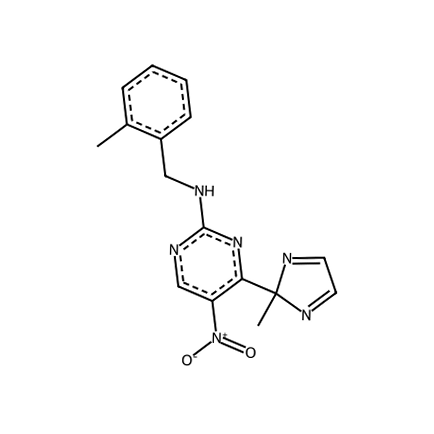 Cc1ccccc1CNc1ncc([N+](=O)[O-])c(C2(C)N=CC=N2)n1